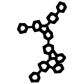 c1ccc(-c2ccc(-n3c4ccc(-c5ccccc5)cc4c4cc(-c5ccc6c(c5)c5ccccc5n6-c5ccc(-c6ccccc6)cc5-c5ccccc5)ccc43)cc2)cc1